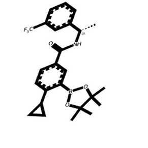 C[C@H](NC(=O)c1ccc(C2CC2)c(B2OC(C)(C)C(C)(C)O2)c1)c1cccc(C(F)(F)F)c1